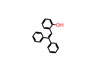 Oc1ccccc1C=C(c1ccccc1)c1ccccc1